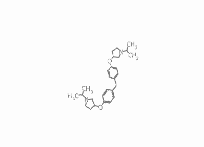 CC(C)N1CCC(Oc2ccc(Cc3ccc(OC4CCN(C(C)C)C4)cc3)cc2)C1